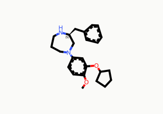 COc1ccc(N2CCCN[C@@H](Cc3ccccc3)C2)cc1OC1CCCC1